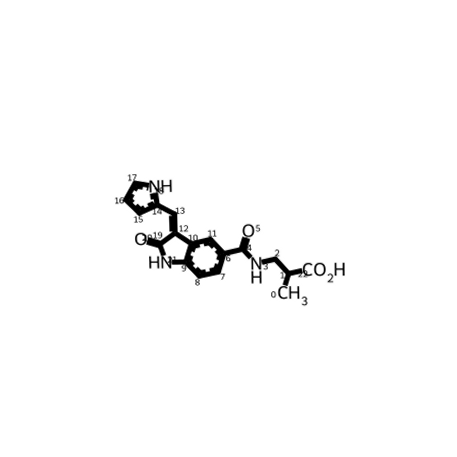 CC(CNC(=O)c1ccc2c(c1)C(=Cc1ccc[nH]1)C(=O)N2)C(=O)O